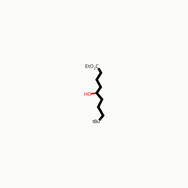 CCOC(=O)CCC[C@H](O)CCCC(C)(C)C